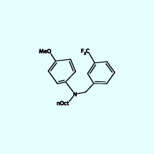 CCCCCCCCN(Cc1cccc(C(F)(F)F)c1)c1ccc(OC)cc1